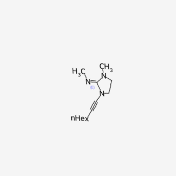 CCCCCCC#CN1CCN(C)/C1=N\C